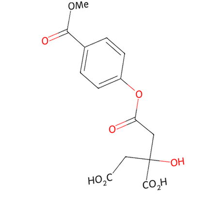 COC(=O)c1ccc(OC(=O)CC(O)(CC(=O)O)C(=O)O)cc1